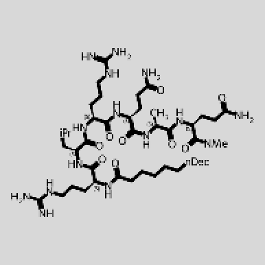 CCCCCCCCCCCCCCCC(=O)N[C@@H](CCCNC(=N)N)C(=O)N[C@@H](CC(C)C)C(=O)N[C@@H](CCCNC(=N)N)C(=O)N[C@@H](CCC(N)=O)C(=O)N[C@@H](C)C(=O)N[C@@H](CCC(N)=O)C(=O)NC